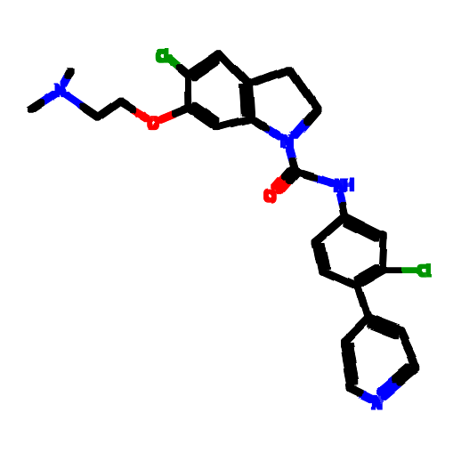 CN(C)CCOc1cc2c(cc1Cl)CCN2C(=O)Nc1ccc(-c2ccncc2)c(Cl)c1